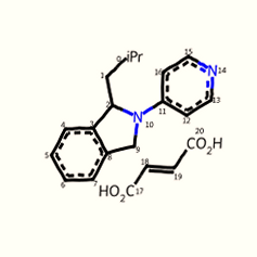 CC(C)CC1c2ccccc2CN1c1ccncc1.O=C(O)C=CC(=O)O